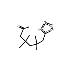 CC(C)(CC(=O)I)CC(C)(C)Cc1nnn[nH]1